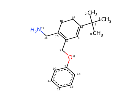 CC(C)(C)C1=CC(COc2ccccc2)=C(CN)CC1